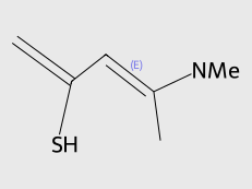 C=C(S)/C=C(\C)NC